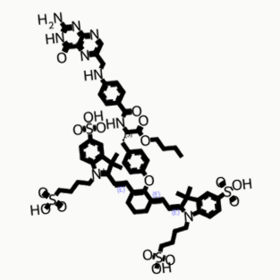 CCCCOC(=O)[C@H](Cc1ccc(OC2=C(/C=C/C3=[N+](CCCCS(=O)(=O)O)c4ccc(S(=O)(=O)O)cc4C3(C)C)CCC/C2=C\C=C2\N(CCCCS(=O)(=O)O)c3ccc(S(=O)(=O)O)cc3C2(C)C)cc1)NC(=O)c1ccc(NCc2cnc3nc(N)[nH]c(=O)c3n2)cc1